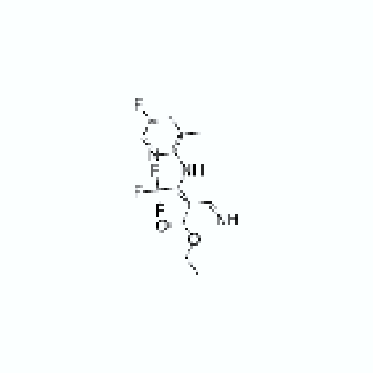 CCOC(=O)/C(C=N)=C(/Nc1ncc(F)cc1C)C(F)(F)F